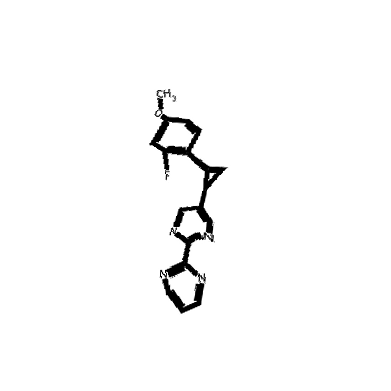 COc1ccc(C2CC2c2cnc(-c3ncccn3)nc2)c(F)c1